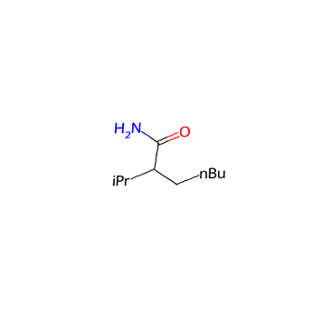 CCCCCC(C(N)=O)C(C)C